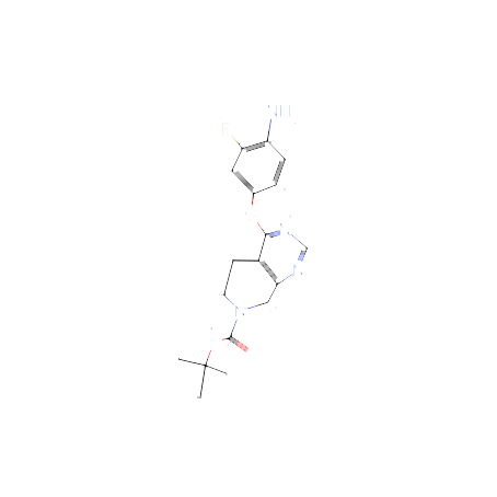 CC(C)(C)OC(=O)N1CCc2c(ncnc2Oc2ccc(N)c(F)c2)C1